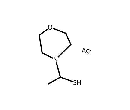 CC(S)N1CCOCC1.[Ag]